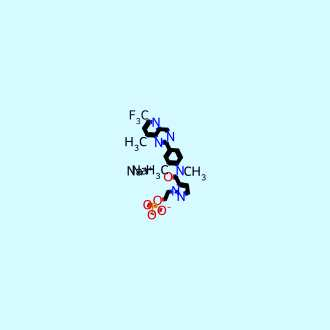 Cc1cc(-c2ncc3nc(C(F)(F)F)cc(C)c3n2)ccc1N(C)C(=O)c1ccnn1CCOP(=O)([O-])[O-].[Na+].[Na+]